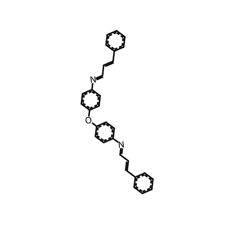 C(=Cc1ccccc1)C=Nc1ccc(Oc2ccc(N=CC=Cc3ccccc3)cc2)cc1